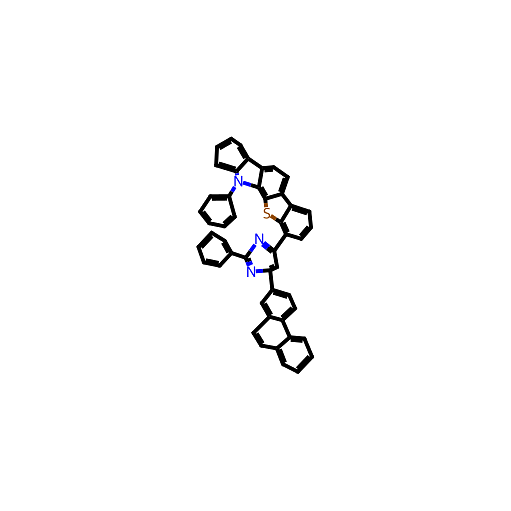 c1ccc(-c2nc(-c3ccc4c(ccc5ccccc54)c3)cc(-c3cccc4c3sc3c4ccc4c5ccccc5n(-c5ccccc5)c43)n2)cc1